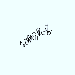 C=CC(=O)Nc1ccc2c(c1)C(=O)N([C@H]1CCC[C@@H](Nc3ncc(C)c(C(F)(F)F)n3)C1)C2